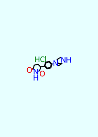 Cl.O=C1CCC(c2ccc(N3CC4CC3CN4)cc2)C(=O)N1